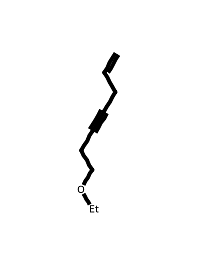 C=CCC#CCCOCC